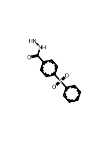 [NH]NC(=O)c1ccc(S(=O)(=O)c2ccccc2)cc1